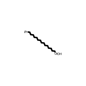 CC(C)CCCCCCCCCCCCCCCOO